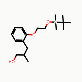 CC(CO)Cc1ccccc1OCCO[Si](C)(C)C(C)(C)C